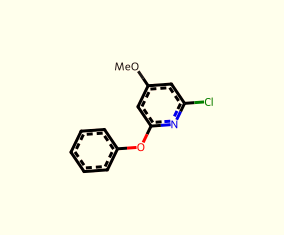 COc1cc(Cl)nc(Oc2ccccc2)c1